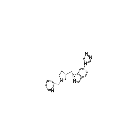 c1ccc(CN2CCC(Cn3ncc4ccc(-n5cnnc5)cc43)C2)nc1